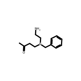 CC(=O)CCN(CCN)Cc1ccccc1